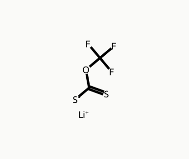 FC(F)(F)OC(=S)[S-].[Li+]